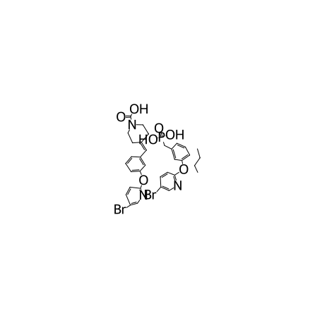 CCCC.O=C(O)N1CCC(=Cc2cccc(Oc3ccc(Br)cn3)c2)CC1.O=P(O)(O)Cc1cccc(Oc2ccc(Br)cn2)c1